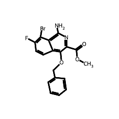 COC(=O)c1nc(N)c2c(Br)c(F)ccc2c1OCc1ccccc1